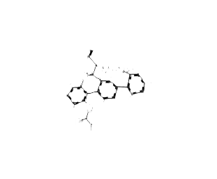 C=CCC1Oc2cccc(OC(F)F)c2-c2ccc(-c3ccccc3NC)cc21